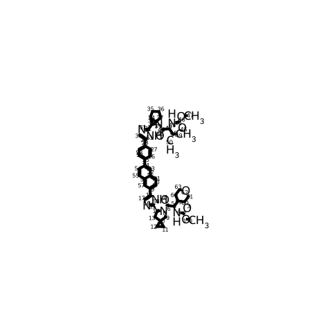 COC(=O)NC(C(=O)N1CC2(CC2)C[C@H]1c1ncc(-c2ccc3cc(-c4ccc(-c5cnc(C6C7CCC(C7)N6C(=O)[C@@H](NC(=O)OC)C(C)C)[nH]5)cc4)ccc3c2)[nH]1)C1CCOCC1